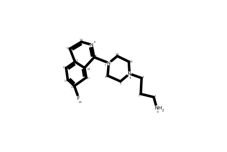 NCCCN1CCN(c2nccc3ccc(F)cc23)CC1